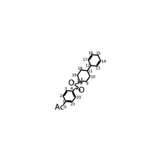 CC(=O)c1ccc(S(=O)(=O)N2CCC(C3C=CCC=C3)CC2)cc1